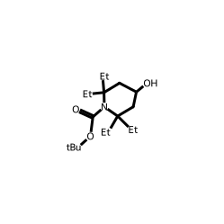 CCC1(CC)CC(O)CC(CC)(CC)N1C(=O)OC(C)(C)C